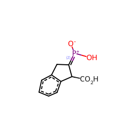 O=C(O)C1/C(=[P+](/[O-])O)Cc2ccccc21